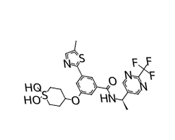 Cc1cnc(-c2cc(OC3CCS(O)(O)CC3)cc(C(=O)N[C@H](C)c3cnc(C(F)(F)F)nc3)c2)s1